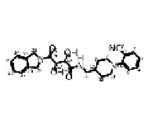 N#Cc1ccccc1N1CCC(CNC(=O)[C@H](O)[C@@H](O)C(=O)N2Cc3ccccc3C2)CC1